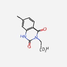 Cc1ccc2c(=O)n(CC(=O)O)c(=O)[nH]c2c1